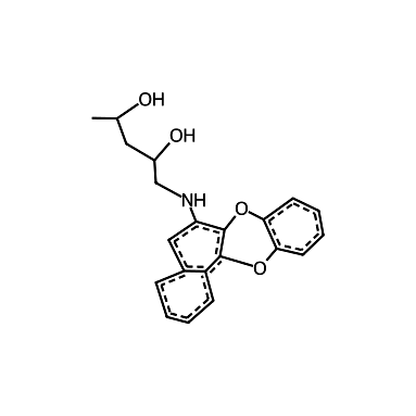 CC(O)CC(O)CNc1cc2ccccc2c2c1Oc1ccccc1O2